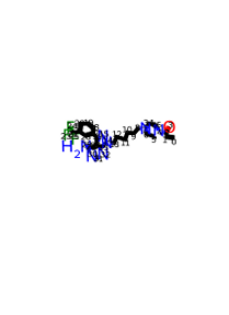 C=CC(=O)N1CCN(CCCCCCn2nc(-c3cccc(C(F)(F)F)c3)c3c(N)ncnc32)CC1